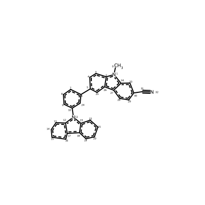 Cn1c2ccc(-c3cccc(-n4c5ccccc5c5ccccc54)c3)cc2c2ccc(C#N)cc21